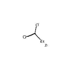 CCC(Cl)Cl.[Zr]